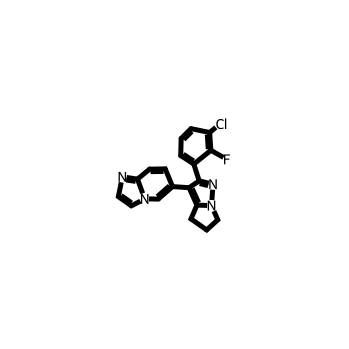 Fc1c(Cl)cccc1-c1nn2c(c1-c1ccc3nccn3c1)CCC2